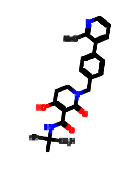 CCCC(C)(NC(=O)C1=C(O)CCN(Cc2ccc(-c3cccnc3OC)cc2)C1=O)C(=O)O